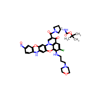 CC(C)(C)OC(=O)N[C@H]1CCN(C(=O)c2cn3c4cc5oc6cc(N=O)ccc6[nH]c5cc4oc4c(NCCCN5CCOCC5)c(F)cc(c2=O)c43)C1